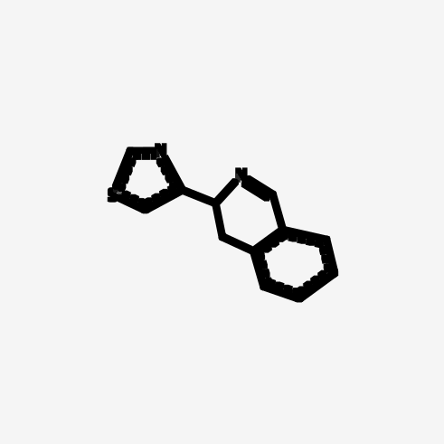 C1=NC(c2cscn2)Cc2ccccc21